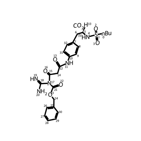 CCCCS(=O)(=O)N[C@@H](Cc1ccc(NC(=O)CC(=O)N(C(=N)N)C(=O)OCc2ccccc2)cc1)C(=O)O